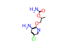 CC(COc1ncc(Cl)cc1N)OC(N)=O